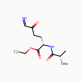 CO[C@@H](C)C(=O)N[C@@H](CCC(=O)C=N)C(=O)OCC(F)(F)F